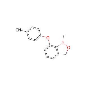 [C-]#[N+]c1ccc(Oc2cccc3c2B(C)OC3)cc1